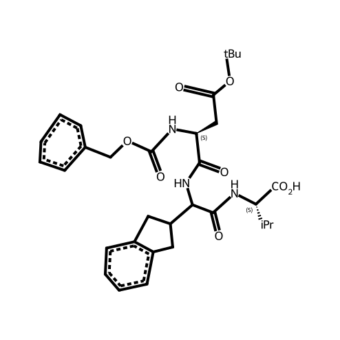 CC(C)[C@H](NC(=O)C(NC(=O)[C@H](CC(=O)OC(C)(C)C)NC(=O)OCc1ccccc1)C1Cc2ccccc2C1)C(=O)O